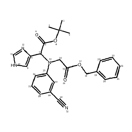 CC(C)(C)OC(=O)C(c1c[nH]cn1)N(CC(=O)OCc1ccccc1)c1cccc(C#N)c1